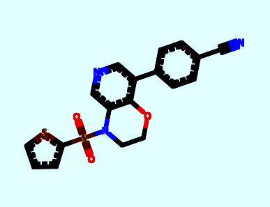 N#Cc1ccc(-c2cncc3c2OCCN3S(=O)(=O)c2cccs2)cc1